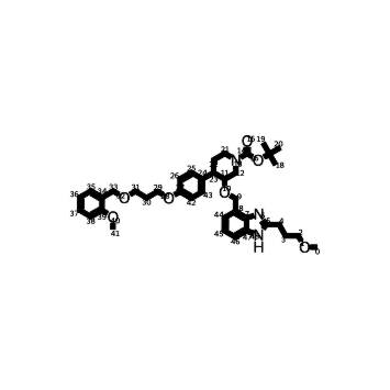 COCCCc1nc2c(COC3CN(C(=O)OC(C)(C)C)CCC3c3ccc(OCCCOCc4ccccc4OC)cc3)cccc2[nH]1